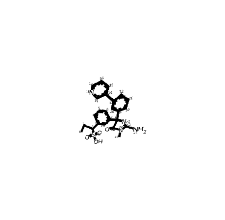 CCC(c1cccc(C2(c3cccc(-c4cccnc4)c3)N=C(N)N(C)C2=O)c1)S(=O)(=O)O